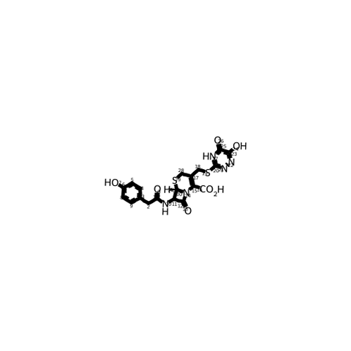 O=C(Cc1ccc(O)cc1)NC1C(=O)N2C(C(=O)O)=C(CSc3nnc(O)c(=O)[nH]3)CS[C@@H]12